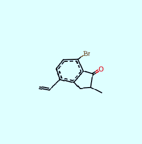 C=Cc1ccc(Br)c2c1CC(C)C2=O